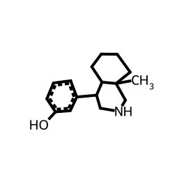 CC12CCCCC1C(c1cccc(O)c1)CNC2